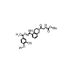 C=C(O/N=C(\N)c1cccc2c1CCN(C(=O)CNC(=O)OC(C)(C)C)C2)c1ccc(OC(C)C)c(C#N)c1